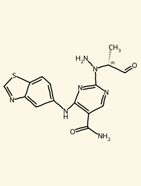 C[C@H](C=O)N(N)c1ncc(C(N)=O)c(Nc2ccc3scnc3c2)n1